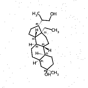 CC[C@]12CC[C@H]3[C@@H](CC[C@@H]4C[C@](C)(O)CC[C@@H]43)[C@@H]1CC[C@@H]2C(C)CO